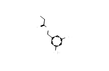 CCC(=O)OCc1cc(O)cc(O)c1